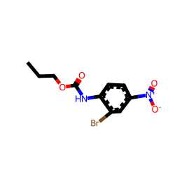 CCCOC(=O)Nc1ccc([N+](=O)[O-])cc1Br